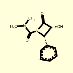 CN(C)C(=O)N1C(=O)[C@H](O)[C@@H]1c1ccccc1